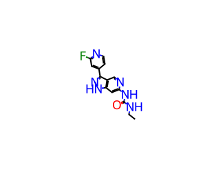 CCNC(=O)Nc1cc2[nH]nc(-c3ccnc(F)c3)c2cn1